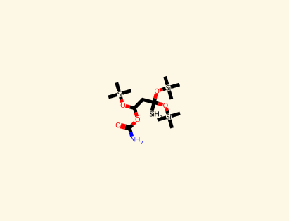 C[Si](C)(C)OC(CC([SiH3])(O[Si](C)(C)C)O[Si](C)(C)C)OC(N)=O